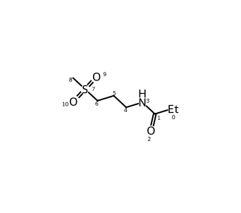 CCC(=O)NCCCS(C)(=O)=O